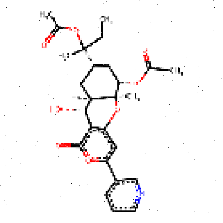 CCC(C)(OC(C)=O)[C@@H]1C[C@H](OC(C)=O)[C@@]2(C)Oc3cc(-c4cccnc4)oc(=O)c3[C@H](O)[C@H]2C1